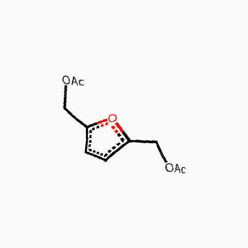 CC(=O)OCc1ccc(COC(C)=O)o1